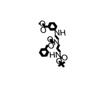 COC(=O)c1cccc(NCCN(CCCNC(=O)OC(C)(C)C)C(=O)OCc2ccccc2)c1